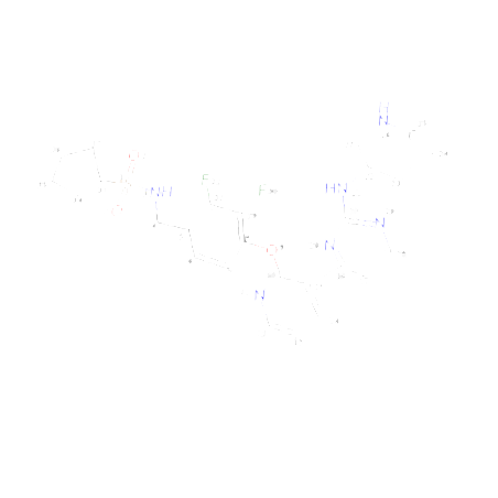 O=S(=O)(NCc1ccc(Oc2ncccc2-c2ccnc(N[C@H]3CCCNC3)n2)c(F)c1F)C1CCCC1